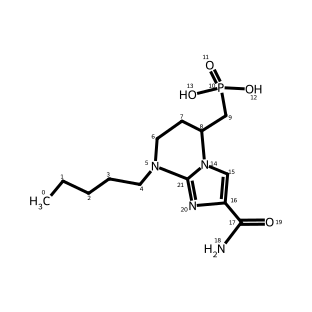 CCCCCN1CCC(CP(=O)(O)O)n2cc(C(N)=O)nc21